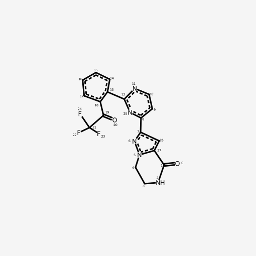 O=C1NCCn2nc(-c3ccnc(-c4ccccc4C(=O)C(F)(F)F)n3)cc21